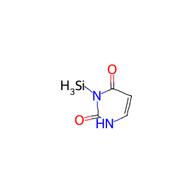 O=c1cc[nH]c(=O)n1[SiH3]